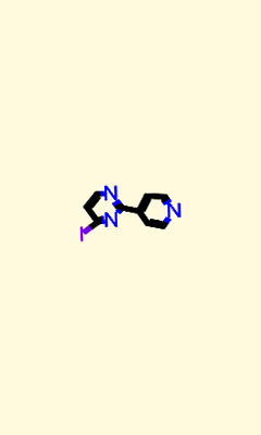 Ic1ccnc(-c2ccncc2)n1